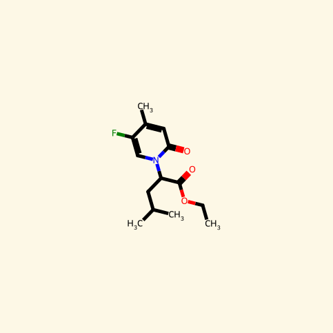 CCOC(=O)C(CC(C)C)n1cc(F)c(C)cc1=O